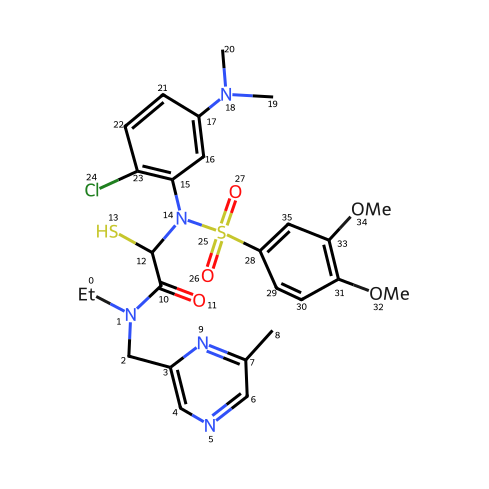 CCN(Cc1cncc(C)n1)C(=O)C(S)N(c1cc(N(C)C)ccc1Cl)S(=O)(=O)c1ccc(OC)c(OC)c1